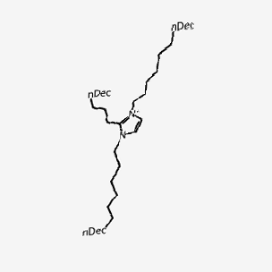 CCCCCCCCCCCCCCCCn1cc[n+](CCCCCCCCCCCCCCCC)c1CCCCCCCCCCCCC